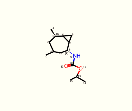 CC1C[C@@H](C)C2CC2[C@H](NC(=O)OC(C)C)C1